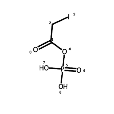 O=C(CI)OP(=O)(O)O